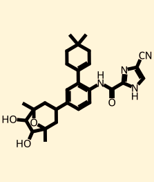 CC1(C)CC=C(c2cc(C3CC4(C)OC(C)(C3)C(O)C4O)ccc2NC(=O)c2nc(C#N)c[nH]2)CC1